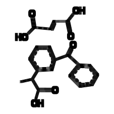 CC(C(=O)O)c1cccc(C(=O)c2ccccc2)c1.O=C(O)C=CC(=O)O